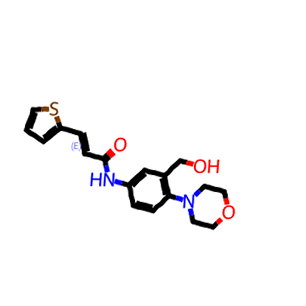 O=C(/C=C/c1cccs1)Nc1ccc(N2CCOCC2)c(CO)c1